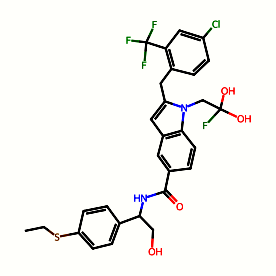 CCSc1ccc(C(CO)NC(=O)c2ccc3c(c2)cc(Cc2ccc(Cl)cc2C(F)(F)F)n3CC(O)(O)F)cc1